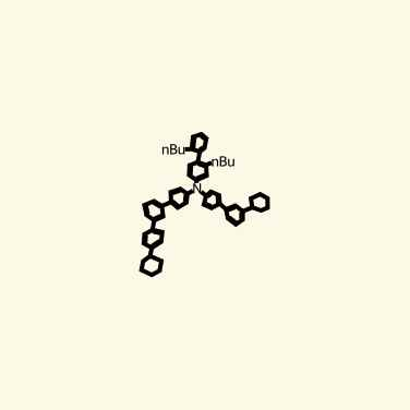 CCCCc1ccccc1-c1ccc(N(c2ccc(-c3cccc(-c4ccc(C5CCCCC5)cc4)c3)cc2)c2ccc(-c3cccc(C4CCCCC4)c3)cc2)cc1CCCC